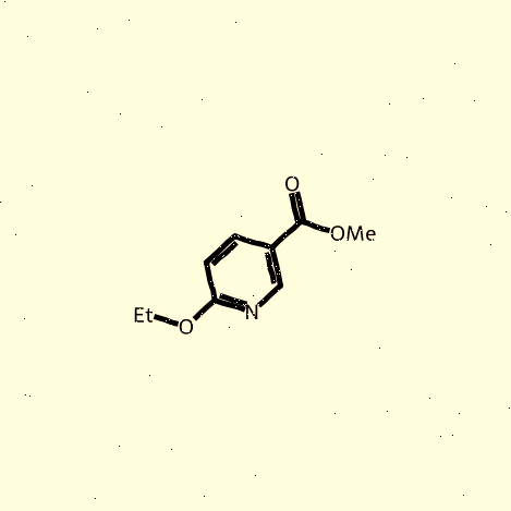 CCOc1ccc(C(=O)OC)cn1